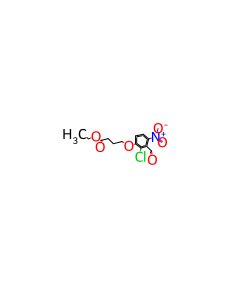 CCOC(=O)CCCOc1ccc([N+](=O)[O-])c(C=O)c1Cl